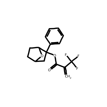 C=C(C(=O)OC1(c2ccccc2)CC2CCC1O2)C(F)(F)F